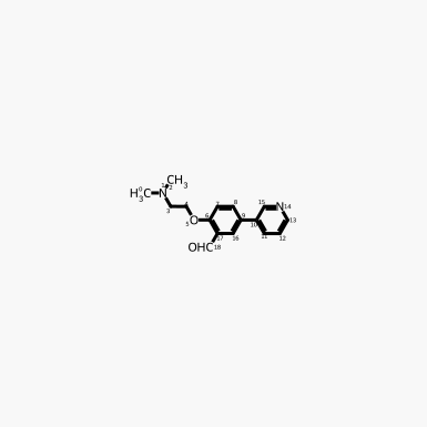 CN(C)CCOc1ccc(-c2cccnc2)cc1C=O